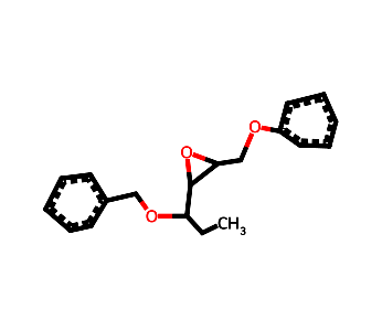 CCC(OCc1ccccc1)C1OC1COc1ccccc1